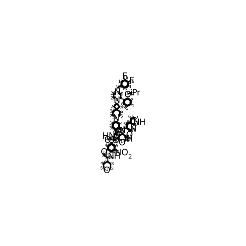 CC(C)Oc1ccccc1[C@@H]1CN(Cc2ccc(F)c(F)c2)CCN1[C@H]1CC2(CCN(c3ccc(C(=O)NS(=O)(=O)c4cc5c(c([N+](=O)[O-])c4)N[C@H](C4CCOCC4)CO5)c(N4c5cc6cc[nH]c6nc5O[C@H]5COCC[C@@H]54)c3)CC2)[C@H]1C